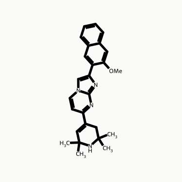 COc1cc2ccccc2cc1-c1cn2ccc(C3=CC(C)(C)NC(C)(C)C3)nc2n1